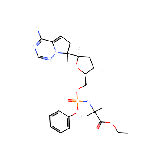 CCOC(=O)C(C)(C)NP(=O)(OC[C@H]1O[C@@](C)(C2(C)CC=C3C(N)=NC=NN32)[C@H](O)[C@@H]1O)Oc1ccccc1